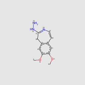 COc1cc2c(cc1OC)CC(NN)=NC=C2